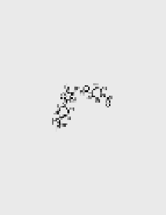 Cc1oc(-c2ccc(C(F)(F)F)cc2)nc1CCOc1ccc(C=O)cc1